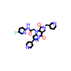 O=C(Cn1c2c(c(=O)n3nc(-c4ccncc4)cc13)CN(Cc1cccnc1)C2=O)Nc1ccc(F)cn1